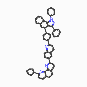 c1ccc(-c2ccc3ccc4ccc(-c5ccc6nc(-c7ccc(-c8cc9ccccc9c9c8c(-c8ccccc8)nn9-c8ccccc8)cc7)ccc6c5)nc4c3n2)cc1